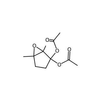 CC(=O)OC1(OC(C)=O)CCC2(C)OC21C